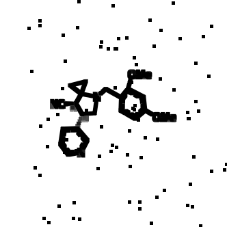 COc1ccc(CN2C[C@H](c3cccnc3)[C@@H](C#N)C23CC3)c(OC)c1